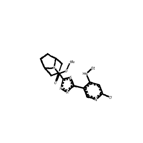 CCNc1cc(Cl)ncc1-c1nnc(N2CC3CCC(C2)N3C(=O)OC(C)(C)C)s1